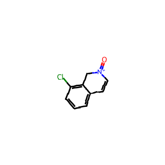 O=[N+]1C=Cc2cccc(Cl)c2C1